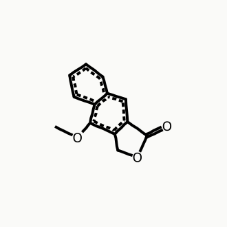 COc1c2c(cc3ccccc13)C(=O)OC2